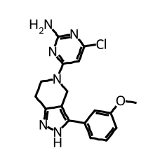 COc1cccc(-c2[nH]nc3c2CN(c2cc(Cl)nc(N)n2)CC3)c1